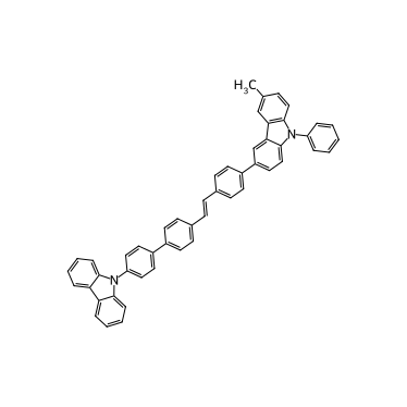 Cc1ccc2c(c1)c1cc(-c3ccc(/C=C/c4ccc(-c5ccc(-n6c7ccccc7c7ccccc76)cc5)cc4)cc3)ccc1n2-c1ccccc1